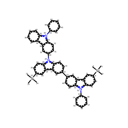 C[Si](C)(C)c1ccc2c(c1)c1cc(-c3ccc4c(c3)c3cc([Si](C)(C)C)ccc3n4-c3ccc4c(c3)c3ccccc3n4-c3ccccc3)ccc1n2-c1ccccc1